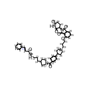 O=C(/C=C/c1cccnc1)NCCCCC1CCN(C(=O)c2ccc(C3CCN(CCCOc4cccc5c4C(=O)N(C4CCC(=O)NC4=O)C5=O)CC3)cc2)CC1